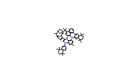 Cc1cc2c3c(c1)N(c1ccc4c(c1)C(C)(C)CCC4(C)C)c1sc4c(c1B3c1cc(C(C)(C)C)ccc1N2c1cc2c(cc1-c1ccccc1)C(C)(C)CCC2(C)C)C1CC(=C4)C(C)C2CCC1(C)C2